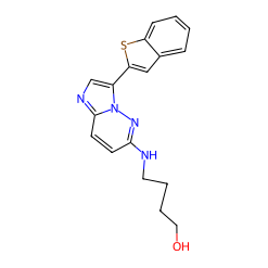 OCCCCNc1ccc2ncc(-c3cc4ccccc4s3)n2n1